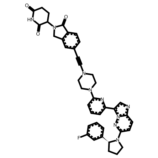 O=C1CCC(N2Cc3cc(C#CN4CCN(c5cccc(-c6cnc7ccc(N8CCC[C@@H]8c8cccc(F)c8)nn67)n5)CC4)ccc3C2=O)C(=O)N1